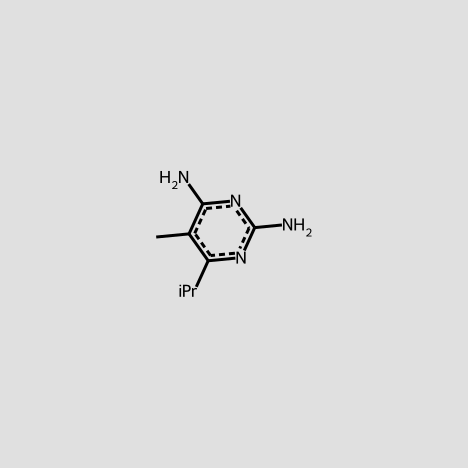 Cc1c(N)nc(N)nc1C(C)C